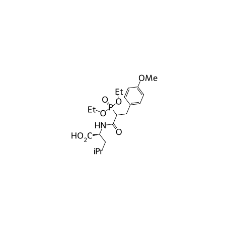 CCOP(=O)(OCC)C(Cc1ccc(OC)cc1)C(=O)N[C@@H](CC(C)C)C(=O)O